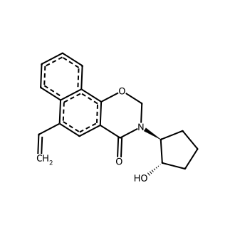 C=Cc1cc2c(c3ccccc13)OCN([C@H]1CCC[C@@H]1O)C2=O